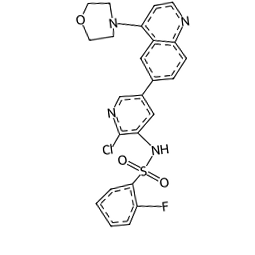 O=S(=O)(Nc1cc(-c2ccc3nccc(N4CCOCC4)c3c2)cnc1Cl)c1ccccc1F